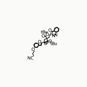 CC(C)(C)OC(=O)C(CCn1nnc2ccccc2c1=O)(CC(=O)c1cc2cc(OCCCC#N)ccc2o1)C(=O)OC(C)(C)C